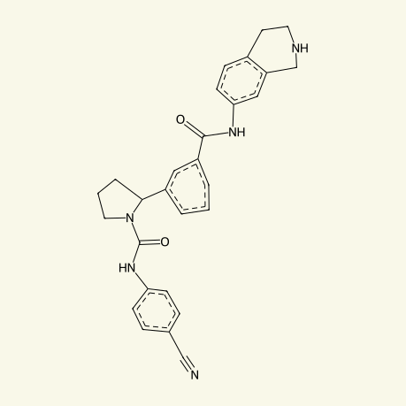 N#Cc1ccc(NC(=O)N2CCCC2c2cccc(C(=O)Nc3ccc4c(c3)CNCC4)c2)cc1